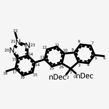 CCCCCCCCCCC1(CCCCCCCCCC)c2cc(C)ccc2-c2ccc(-c3ccc(C)c4nn(C)nc34)cc21